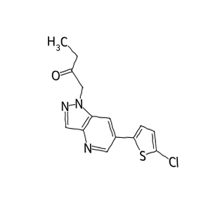 CCC(=O)Cn1ncc2ncc(-c3ccc(Cl)s3)cc21